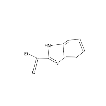 [CH2]CC(=O)c1nc2ccccc2[nH]1